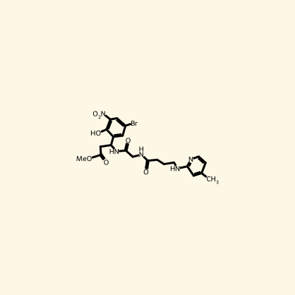 COC(=O)CC(NC(=O)CNC(=O)CCCNc1cc(C)ccn1)c1cc(Br)cc([N+](=O)[O-])c1O